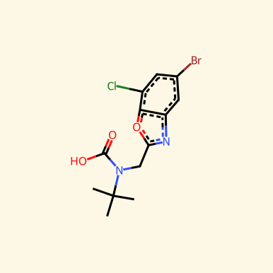 CC(C)(C)N(Cc1nc2cc(Br)cc(Cl)c2o1)C(=O)O